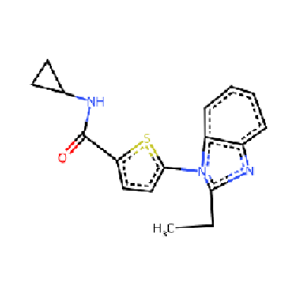 CCc1nc2ccccc2n1-c1ccc(C(=O)NC2CC2)s1